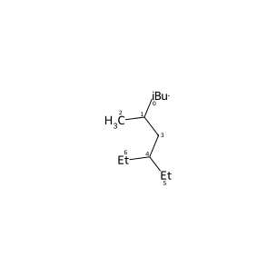 CC[C](C)C(C)CC(CC)CC